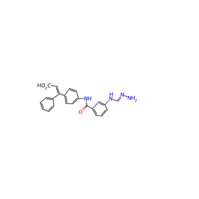 NN=CNc1cccc(C(=O)Nc2ccc(C(=CC(=O)O)c3ccccc3)cc2)c1